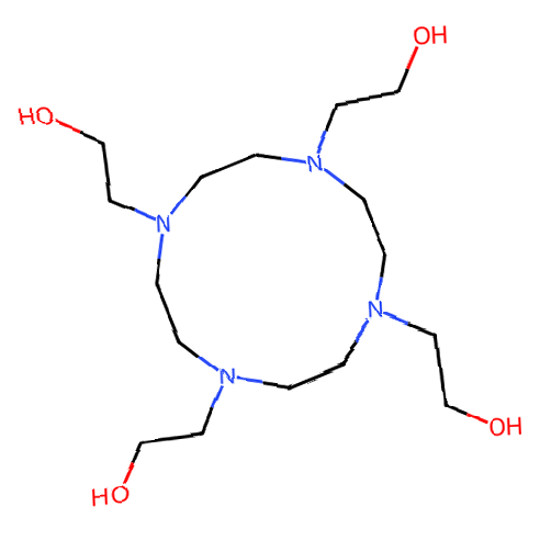 OCCN1CCN(CCO)CCN(CCO)CCN(CCO)CC1